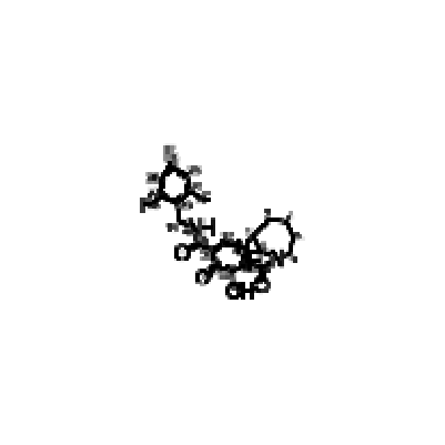 C[C@H]1C2CCCCN1C(=O)c1c(O)c(=O)c(C(=O)NCc3c(F)cc(F)cc3F)cn12